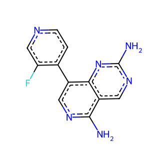 Nc1ncc2c(N)ncc(-c3ccncc3F)c2n1